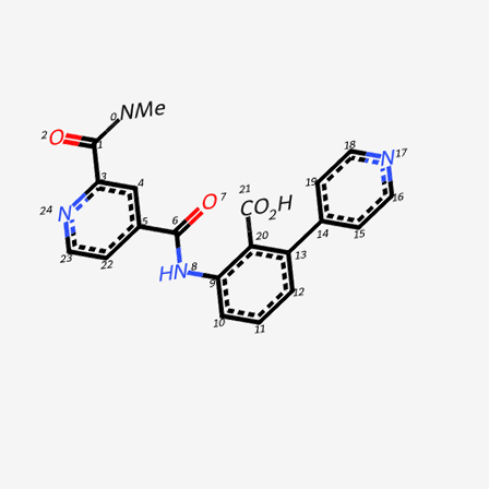 CNC(=O)c1cc(C(=O)Nc2cccc(-c3ccncc3)c2C(=O)O)ccn1